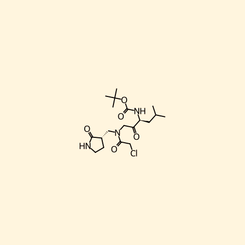 CC(C)C[C@H](NC(=O)OC(C)(C)C)C(=O)CN(C[C@@H]1CCNC1=O)C(=O)CCl